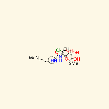 CNCCC[C@@H]1CCN[C@H](C(=O)N[C@H]([C@H](C)Cl)[C@H]2OC(SC)[C@H](O)C(O)C2O)CC1